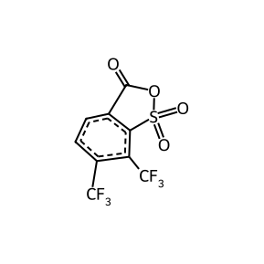 O=C1OS(=O)(=O)c2c1ccc(C(F)(F)F)c2C(F)(F)F